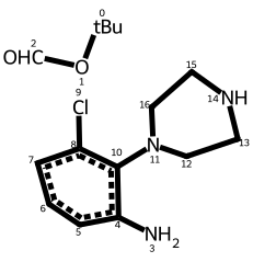 CC(C)(C)OC=O.Nc1cccc(Cl)c1N1CCNCC1